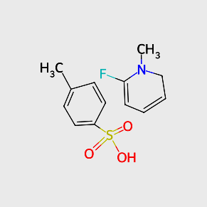 CN1CC=CC=C1F.Cc1ccc(S(=O)(=O)O)cc1